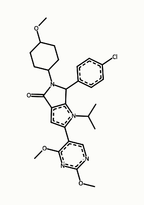 COc1ncc(-c2cc3c(n2C(C)C)C(c2ccc(Cl)cc2)N(C2CCC(OC)CC2)C3=O)c(OC)n1